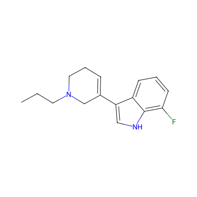 CCCN1CCC=C(c2c[nH]c3c(F)cccc23)C1